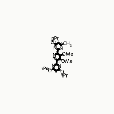 CCCOc1cc(C)nc(-c2nnc(-c3nc(OCCC)cc(OCCC)n3)c(OC)c2OC)n1